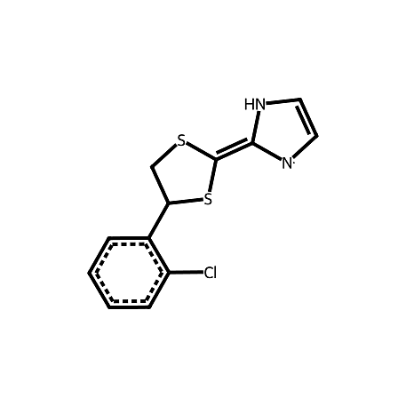 Clc1ccccc1C1CS/C(=C2/[N]C=CN2)S1